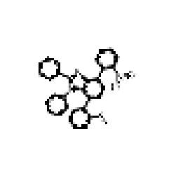 CSc1ccccc1-c1ccc(-c2ccccc2[N+](=O)[O-])c2nc(-c3ccccc3)n(-c3ccccc3)c12